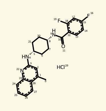 Cc1cc(N[C@H]2CC[C@@H](NC(=O)c3ccc(F)cc3F)CC2)nc2ccccc12.Cl